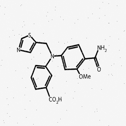 COc1cc(N(Cc2cncs2)c2cccc(C(=O)O)c2)ccc1C(N)=O